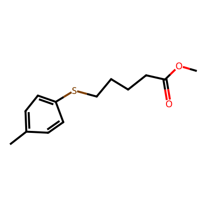 COC(=O)CCCCSc1ccc(C)cc1